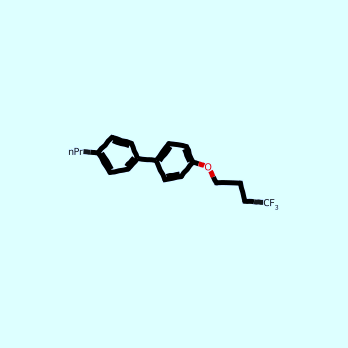 CCCc1ccc(-c2ccc(OCCCC(F)(F)F)cc2)cc1